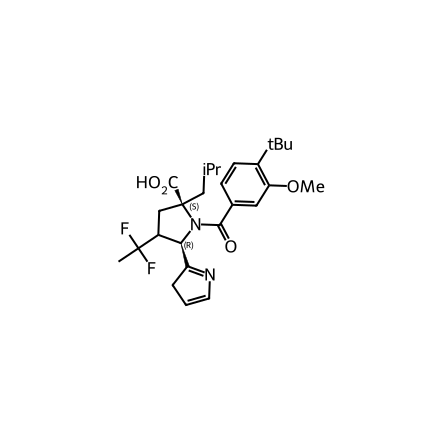 COc1cc(C(=O)N2[C@@H](C3=NC=CC3)C(C(C)(F)F)C[C@@]2(CC(C)C)C(=O)O)ccc1C(C)(C)C